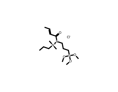 CC=CC(=O)N(CCC[Si](OC)(OC)OC)[N+](C)(C)CCC.[Cl-]